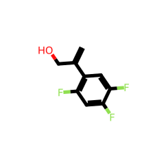 C=C(CO)c1cc(F)c(F)cc1F